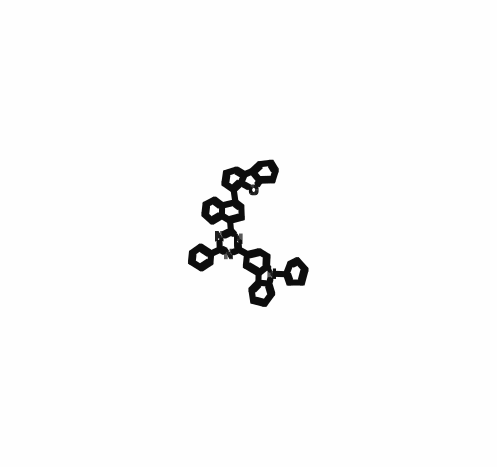 c1ccc(-c2nc(-c3ccc4c(c3)c3ccccc3n4-c3ccccc3)nc(-c3ccc(-c4cccc5c4oc4ccccc45)c4ccccc34)n2)cc1